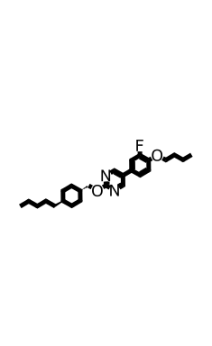 CCCCC[C@H]1CC[C@H](COc2ncc(-c3ccc(OCCCC)c(F)c3)cn2)CC1